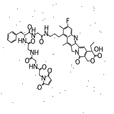 CC[C@@]1(O)C(=O)OCc2c1cc1n(c2=O)Cc2c-1nc1cc(F)c(C)c(CCCNC(=O)CNC(=O)[C@H](Cc3ccccc3)NC(=O)CNC(=O)CNC(=O)CN3C(=O)C=CC3=O)c1c2C